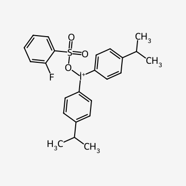 CC(C)c1ccc([I+](OS(=O)(=O)c2ccccc2F)c2ccc(C(C)C)cc2)cc1